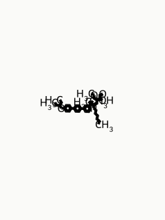 CCCCCCN1/C(=C/C(COC)=C(\O)C=O)C(C)(C)c2cc(-c3ccc(-c4ccc(OC(CC)CC)cc4)cc3)ccc21